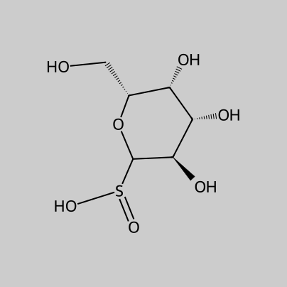 O=S(O)C1O[C@H](CO)[C@H](O)[C@H](O)[C@H]1O